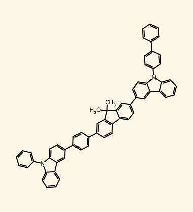 CC1(C)c2cc(-c3ccc(-c4ccc5c(c4)c4ccccc4n5-c4ccccc4)cc3)ccc2-c2ccc(-c3ccc4c(c3)c3ccccc3n4-c3ccc(-c4ccccc4)cc3)cc21